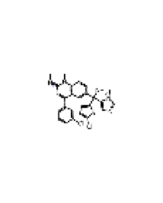 C/N=c1/cc(-c2cccc(Cl)c2)c2cc(C(N)(c3ccc(Cl)s3)c3cncn3C)ccc2n1C